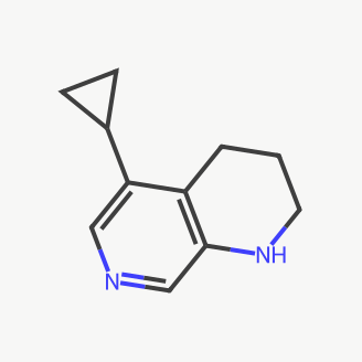 c1ncc(C2CC2)c2c1NCCC2